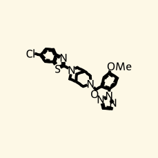 COc1ccc(-n2nccn2)c(C(=O)N2CC3CC(C2)CN(c2nc4ccc(Cl)cc4s2)C3)c1